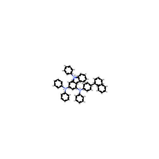 c1ccc(N(c2ccccc2)c2cc(N(c3ccccc3)c3ccc(-c4cccc5ccccc45)cc3)c3c4ccccc4n(-c4ccccc4)c3c2)cc1